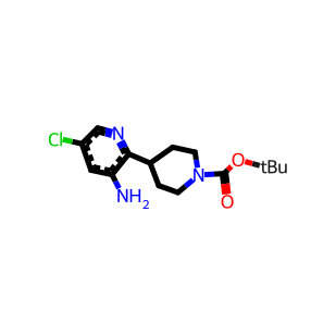 CC(C)(C)OC(=O)N1CCC(c2ncc(Cl)cc2N)CC1